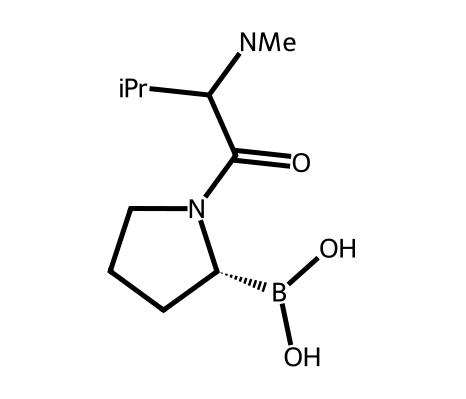 CNC(C(=O)N1CCC[C@H]1B(O)O)C(C)C